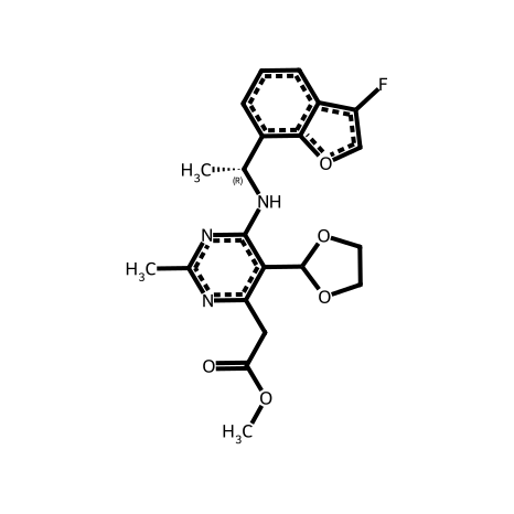 COC(=O)Cc1nc(C)nc(N[C@H](C)c2cccc3c(F)coc23)c1C1OCCO1